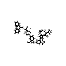 CCc1cc(N2C[C@@H](C)N(C(=O)OCC3c4ccccc4-c4ccccc43)[C@@H](C)C2)ccc1Nc1ncc(C(F)(F)F)c(-c2cc3c(s2)C(=O)N(C2COC2)CCS3(=O)=O)n1